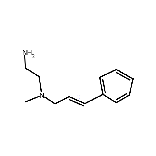 CN(C/C=C/c1ccccc1)CCN